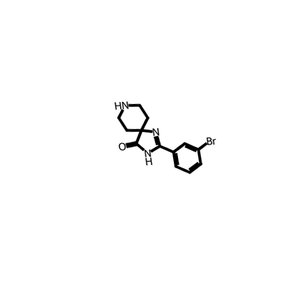 O=C1NC(c2cccc(Br)c2)=NC12CCNCC2